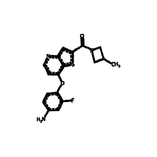 CC1CN(C(=O)c2cc3nccc(Oc4ccc(N)cc4F)c3s2)C1